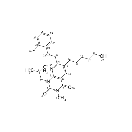 CC(C)Cn1c(=O)n(C)c(=O)c2nc(CCCCCO)c(COc3ccccc3F)nc21